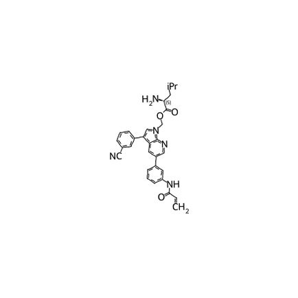 C=CC(=O)Nc1cccc(-c2cnc3c(c2)c(-c2cccc(C#N)c2)cn3COC(=O)[C@@H](N)CC(C)C)c1